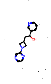 OC(CC1CN(c2cnccn2)C1)c1cccnc1